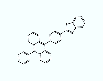 c1ccc(-c2c3ccccc3c(-c3ccc(-c4nc5ccccc5s4)cc3)c3ccccc23)cc1